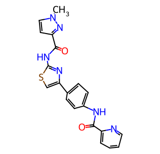 Cn1ccc(C(=O)Nc2nc(-c3ccc(NC(=O)c4ccccn4)cc3)cs2)n1